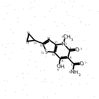 Cn1c(=O)c(C(N)=O)c(O)c2sc(C3CC3)cc21